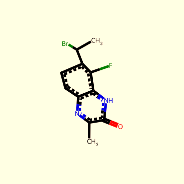 Cc1nc2ccc(C(C)Br)c(F)c2[nH]c1=O